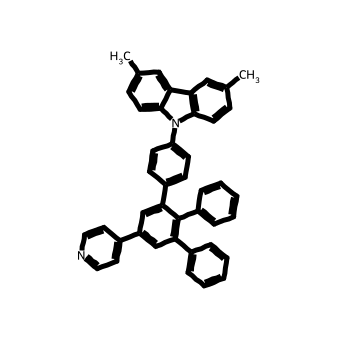 Cc1ccc2c(c1)c1cc(C)ccc1n2-c1ccc(-c2cc(-c3ccncc3)cc(-c3ccccc3)c2-c2ccccc2)cc1